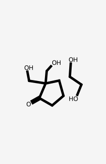 O=C1CCCC1(CO)CO.OCCO